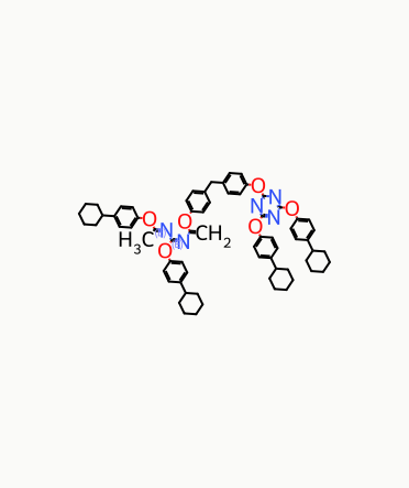 C=C(/N=C(\N=C(/C)Oc1ccc(C2CCCCC2)cc1)Oc1ccc(C2CCCCC2)cc1)Oc1ccc(Cc2ccc(Oc3nc(Oc4ccc(C5CCCCC5)cc4)nc(Oc4ccc(C5CCCCC5)cc4)n3)cc2)cc1